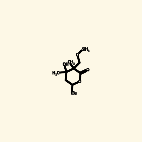 CC(C)(C)C1CC(C)(O)C(C)(CO[SiH3])C(=O)O1